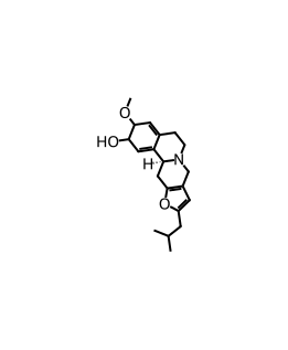 COC1C=C2CCN3Cc4cc(CC(C)C)oc4C[C@H]3C2=CC1O